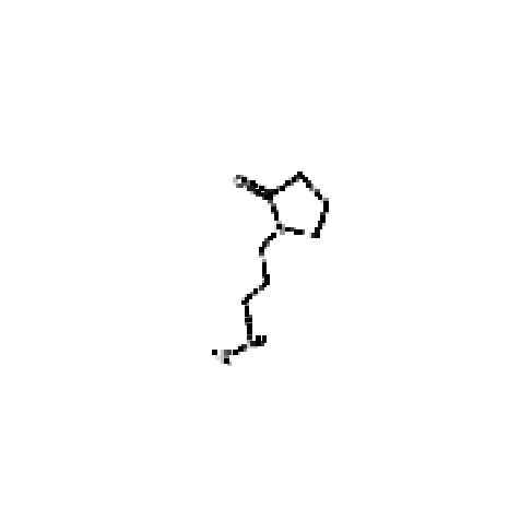 [CH]NCCCN1CCCC1=O